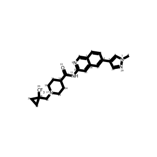 Cn1cc(-c2ccc3cnc(NC(=O)C4CCN(CC5(C(F)(F)F)CC5)CC4)cc3c2)cn1